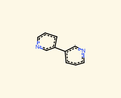 [c]1ncccc1-c1cccnc1